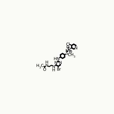 CC(=O)NCCNc1nc(Nc2ccc(S(C)=NS(=O)(=O)c3cnccc3Cl)cc2)ncc1Br